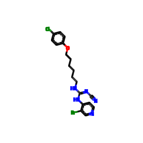 N#CN=C(NCCCCCCOc1ccc(Cl)cc1)Nc1ccncc1Br